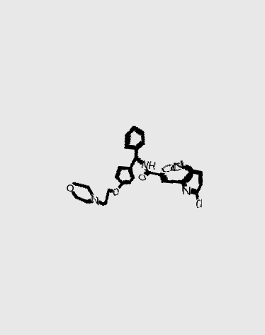 N#C/C(=C\c1nc(Cl)ccc1Cl)C(=O)NC(c1ccccc1)c1ccc(OCCN2CCOCC2)cc1